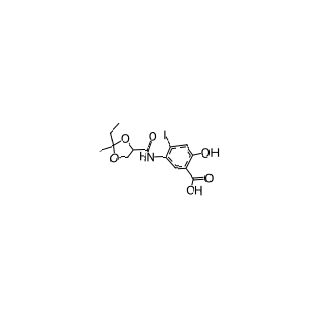 CCC1(C)OCC(C(=O)Nc2cc(C(=O)O)c(O)cc2I)O1